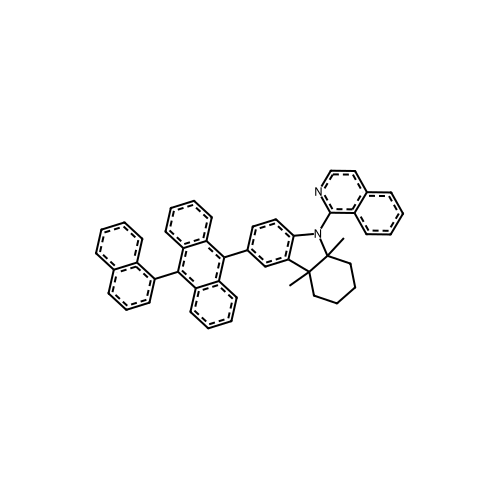 CC12CCCCC1(C)N(c1nccc3ccccc13)c1ccc(-c3c4ccccc4c(-c4cccc5ccccc45)c4ccccc34)cc12